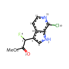 COC(=O)C(F)c1c[nH]c2c(Cl)nccc12